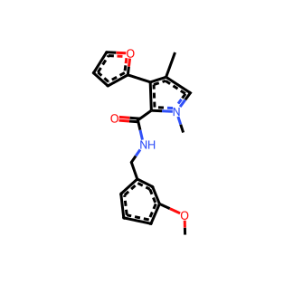 COc1cccc(CNC(=O)c2c(-c3ccco3)c(C)cn2C)c1